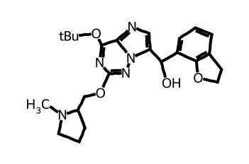 CN1CCCC1COc1nc(OC(C)(C)C)c2ncc(C(O)c3cccc4c3OCC4)n2n1